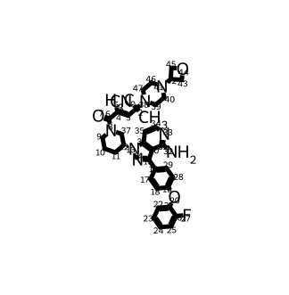 CC(C)(C=C(C#N)C(=O)N1CCC[C@@H](n2nc(-c3ccc(Oc4ccccc4F)cc3)c3c(N)nccc32)C1)N1CCN(C2COC2)CC1